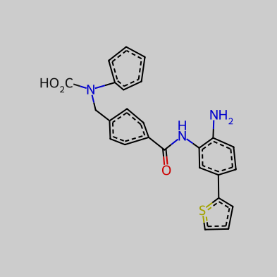 Nc1ccc(-c2cccs2)cc1NC(=O)c1ccc(CN(C(=O)O)c2ccccc2)cc1